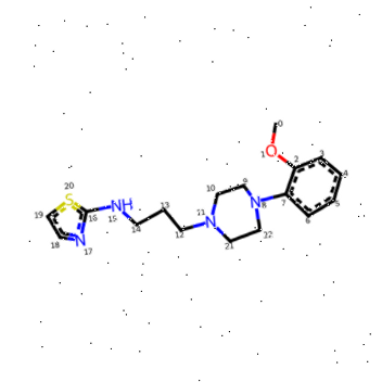 COc1ccccc1N1CCN(CCCNc2nccs2)CC1